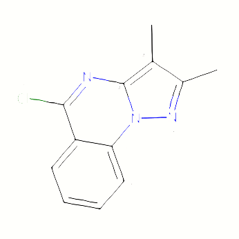 Cc1nn2c(nc(Cl)c3ccccc32)c1C